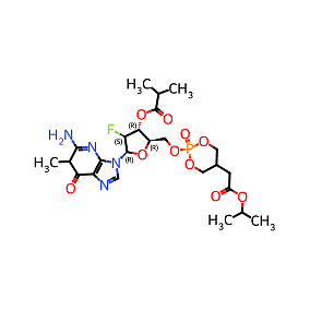 CC(C)OC(=O)CC1COP(=O)(OC[C@H]2O[C@@H](n3cnc4c3N=C(N)C(C)C4=O)[C@@H](F)[C@@H]2OC(=O)C(C)C)OC1